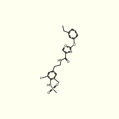 CCc1cccc(Oc2nc(C(=O)NCCc3cc(F)c(NS(C)(=O)=O)c(F)c3)co2)c1